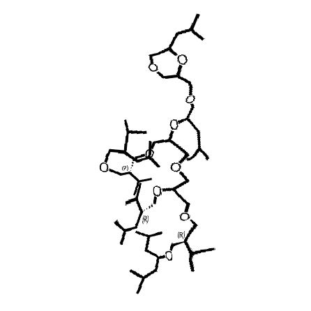 CC(C)CC(CC(C)C)OC[C@@H](COCC(COCC(COC[C@@H](COCC(CC(C)C)C(C)C)C(C)C)OC(COCC1COCC(CC(C)C)O1)CC(C)C)OC[C@H](CC(C)C)C(C)C)C(C)C